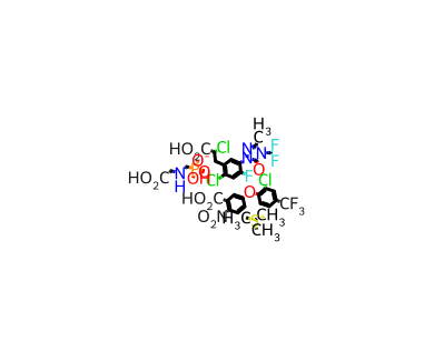 C[S+](C)C.Cc1nn(-c2cc(CC(Cl)C(=O)O)c(Cl)cc2F)c(=O)n1C(F)F.O=C(O)CNCP(=O)([O-])O.O=C(O)c1cc(Oc2ccc(C(F)(F)F)cc2Cl)ccc1[N+](=O)[O-]